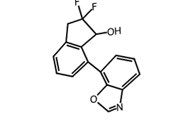 OC1c2c(cccc2-c2cccc3ncoc23)CC1(F)F